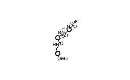 CCCOC(=O)c1ccc(C(=O)NS(=O)(=O)c2cccc(C(=O)NCCc3ccc(OC)cc3)c2)cn1